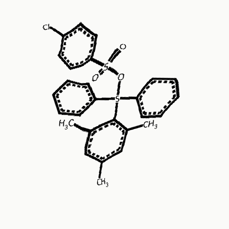 Cc1cc(C)c(S(OS(=O)(=O)c2ccc(Cl)cc2)(c2ccccc2)c2ccccc2)c(C)c1